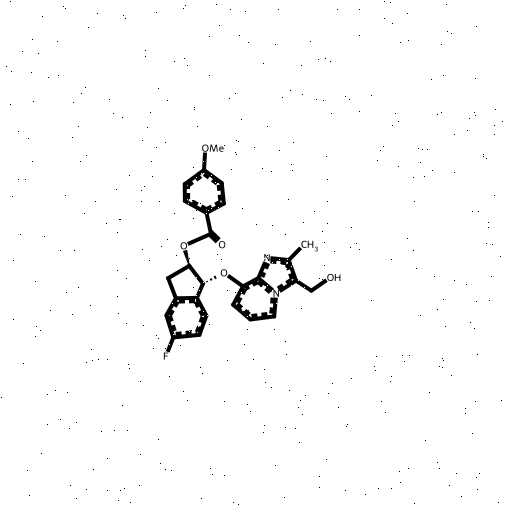 COc1ccc(C(=O)O[C@@H]2Cc3cc(F)ccc3[C@H]2Oc2cccn3c(CO)c(C)nc23)cc1